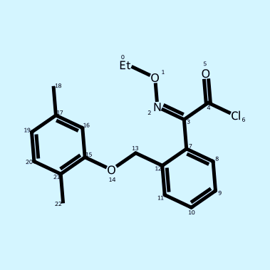 CCON=C(C(=O)Cl)c1ccccc1COc1cc(C)ccc1C